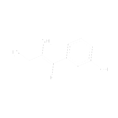 NCC(N)=C(F)c1cccc(O)c1